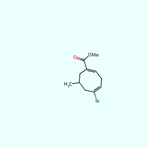 COC(=O)/C1=C/C/C=C(/Br)CC(C)C1